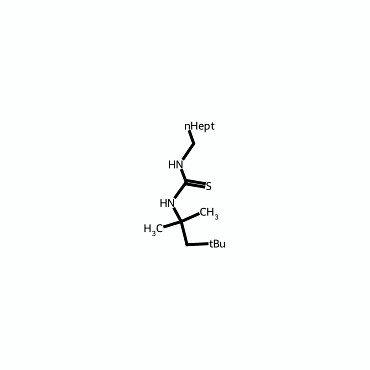 CCCCCCCCNC(=S)NC(C)(C)CC(C)(C)C